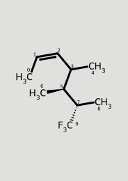 C/C=C\C(C)[C@H](C)[C@H](C)C(F)(F)F